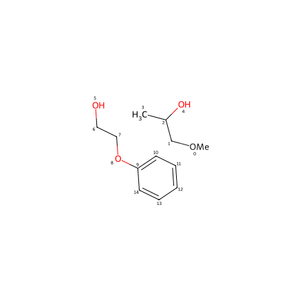 COCC(C)O.OCCOc1ccccc1